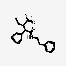 CCC(C(N)=O)C(C(=O)NCCc1ccccc1)c1ccccc1